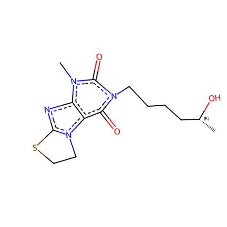 C[C@@H](O)CCCCn1c(=O)c2c(nc3n2CCS3)n(C)c1=O